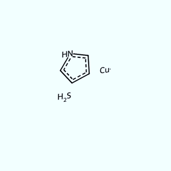 S.[Cu].c1cc[nH]c1